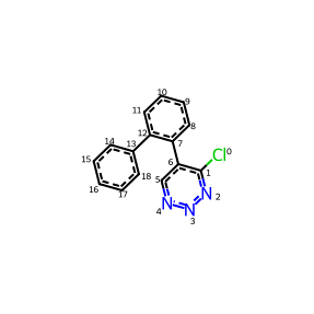 Clc1nnncc1-c1ccccc1-c1ccccc1